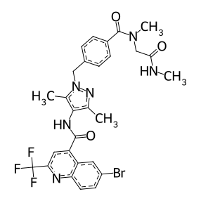 CNC(=O)CN(C)C(=O)c1ccc(Cn2nc(C)c(NC(=O)c3cc(C(F)(F)F)nc4ccc(Br)cc34)c2C)cc1